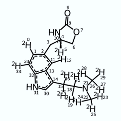 [2H]c1c(C[C@@]2([2H])COC(=O)N2)c([2H])c2c(C([2H])([2H])C([2H])([2H])N(C([2H])([2H])[2H])C([2H])([2H])[2H])c[nH]c2c1[2H]